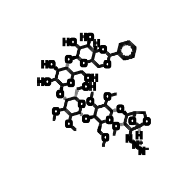 COC[C@@H]1O[C@@H](O[C@H]2C3CO[C@H](O3)C(N=[N+]=[N-])[C@@H]2OC)C(OC)C(OC)[C@@H]1O[C@H]1O[C@@H](CO)[C@@H](O[C@@H]2OC(CO)[C@@H](O[C@@H]3OC4COC(c5ccccc5)O[C@H]4[C@H](O)C3O)[C@H](O)C2O)C(OC)C1OC